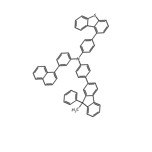 CC1(c2ccccc2)c2ccccc2-c2ccc(-c3ccc(N(c4ccc(-c5cccc6sc7ccccc7c56)cc4)c4cccc(-c5cccc6ccccc56)c4)cc3)cc21